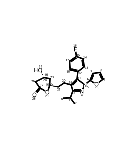 CC(C)c1nn(-c2ccco2)c(-c2ccc(F)cc2)c1CC[C@@H]1C[C@@H](O)CC(=O)O1